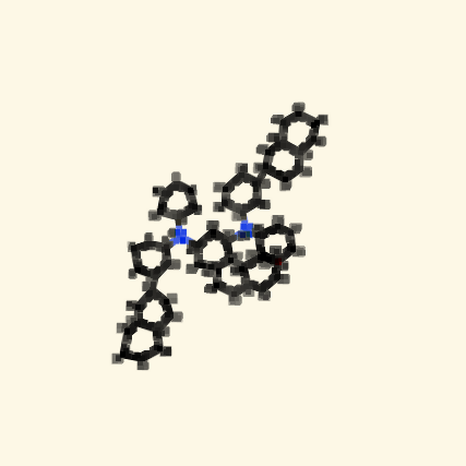 c1ccc(N(c2cccc(-c3ccc4ccccc4c3)c2)c2cc(N(c3ccccc3)c3cccc(-c4ccc5ccccc5c4)c3)c3c(ccc4ccccc43)c2)cc1